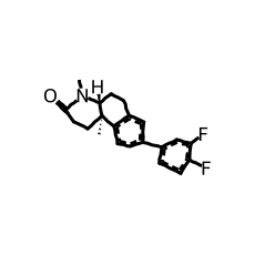 CN1C(=O)CC[C@]2(C)c3ccc(-c4ccc(F)c(F)c4)cc3CC[C@@H]12